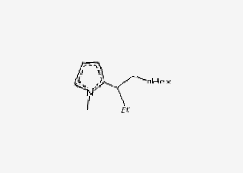 CCCCCCCC(CC)c1cccn1C